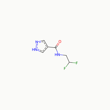 O=C(NCC(F)F)c1cn[nH]c1